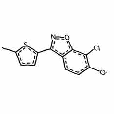 Cc1ccc(-c2noc3c(Cl)c([O])ccc23)s1